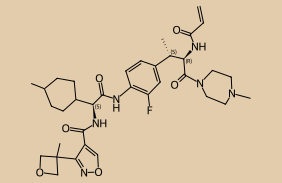 C=CC(=O)N[C@@H](C(=O)N1CCN(C)CC1)[C@@H](C)c1ccc(NC(=O)[C@@H](NC(=O)c2conc2C2(C)COC2)C2CCC(C)CC2)c(F)c1